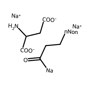 CCCCCCCCCCC[C](=O)[Na].NC(CC(=O)[O-])C(=O)[O-].[Na+].[Na+]